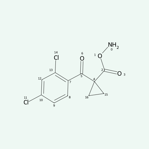 NOC(=O)C1(C(=O)c2ccc(Cl)cc2Cl)CC1